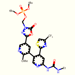 CCNC(=O)Nc1cc(-c2nc(C(F)(F)F)cs2)c(-c2cc(-c3nn(COP(=O)(OC(C)(C)C)OC(C)(C)C)c(=O)o3)cnc2OC)cn1